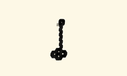 O=[C]CCCCCCCCCc1cc2cccc3ccc4cccc1c4c32